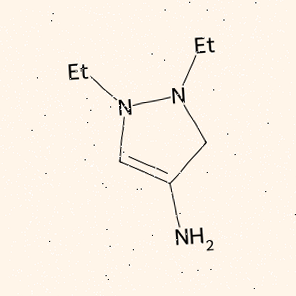 CCN1C=C(N)CN1CC